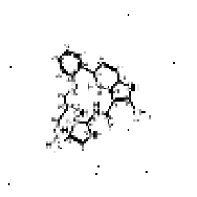 CC1=CNC(NC(=O)C2=C(C)NC3C=CC(c4ccccc4OC[C@H](O)CO)NN23)S1